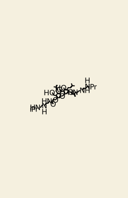 C=C(COc1cc2oc3cc(OCC(=O)NCCNCCNC(C)C)c(CO)c(CC=C(C)C)c3c(=O)c2c(O)c1CC=C(C)C)NCCNCCNC(C)C